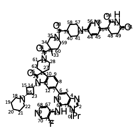 CC(C)n1cnc2cc(-c3ccc4c(c3)N([C@H]3C[C@@H](N5CCCCC5)C3)C(=O)C43CCN(C(=O)C4(C)CCN(C(=O)C5CCN(c6ccc(C7CCC(=O)NC7=O)nc6)CC5)CC4)CC3)nc(Nc3ccncc3F)c21